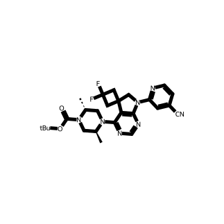 C[C@@H]1CN(c2ncnc3c2C2(CN3c3cc(C#N)ccn3)CC(F)(F)C2)[C@@H](C)CN1C(=O)OC(C)(C)C